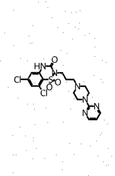 O=C1Nc2cc(Cl)cc(Cl)c2S(=O)(=O)N1CCCN1CCN(c2ncccn2)CC1